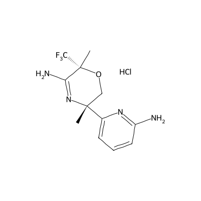 C[C@]1(c2cccc(N)n2)CO[C@@](C)(C(F)(F)F)C(N)=N1.Cl